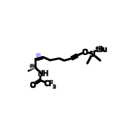 C[C@H](/C=C\CCCC#CO[Si](C)(C)C(C)(C)C)NC(=O)C(F)(F)F